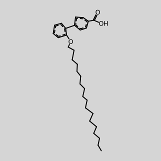 CCCCCCCCCCCCCCCCCCOc1ccccc1-c1ccc(C(=O)O)cc1